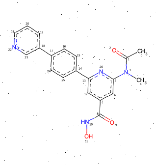 CC(=O)N(C)c1cc(C(=O)NO)cc(-c2ccc(-c3cccnc3)cc2)n1